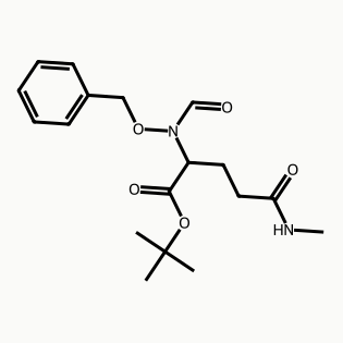 CNC(=O)CCC(C(=O)OC(C)(C)C)N(C=O)OCc1ccccc1